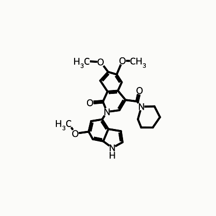 COc1cc(-n2cc(C(=O)N3CCCCC3)c3cc(OC)c(OC)cc3c2=O)c2cc[nH]c2c1